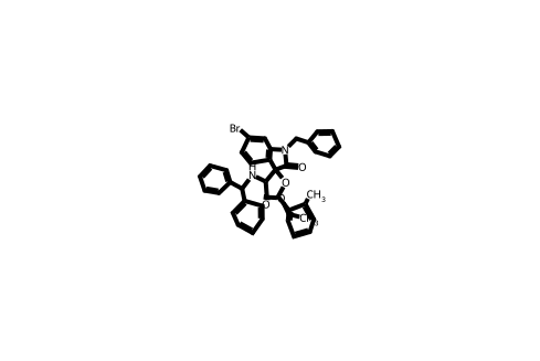 CCOC(=O)C(NC(c1ccccc1)c1ccccc1)C1(OCc2ccccc2C)C(=O)N(Cc2ccccc2)c2cc(Br)ccc21